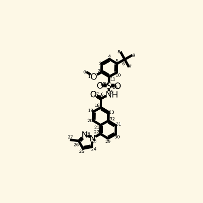 COc1ccc(C(C)(C)C)cc1S(=O)(=O)NC(=O)c1ccc2c(-n3ccc(C)n3)cccc2c1